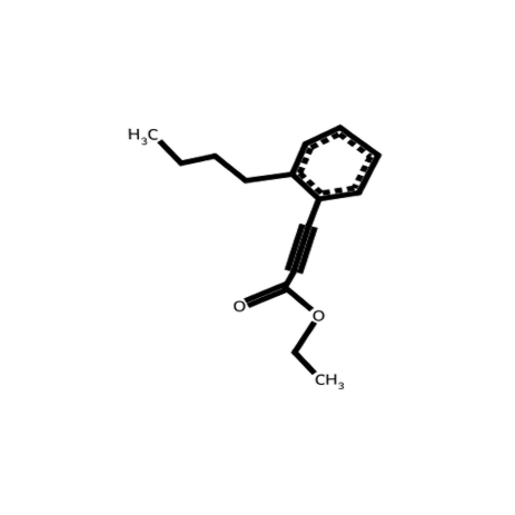 CCCCc1ccccc1C#CC(=O)OCC